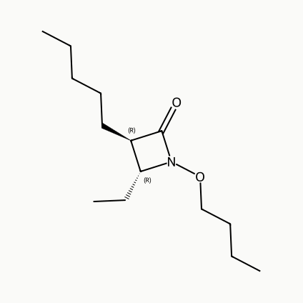 CCCCC[C@H]1C(=O)N(OCCCC)[C@@H]1CC